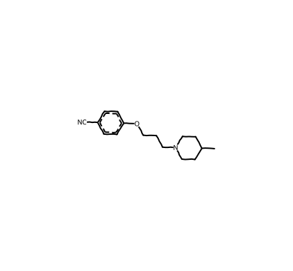 CC1CCN(CCCOc2ccc(C#N)cc2)CC1